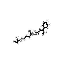 C=CC(=O)OCCCCC(=O)N/C=C/C=C(\C=C)c1ccccc1